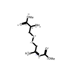 COC(=O)/N=C(/N)CSSCC(N)C(=O)OC